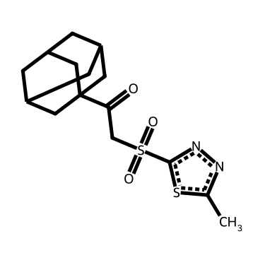 Cc1nnc(S(=O)(=O)CC(=O)C23CC4CC(CC(C4)C2)C3)s1